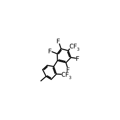 Cc1ccc(-c2c(F)c(F)c(C(F)(F)F)c(F)c2F)c(C(F)(F)F)c1